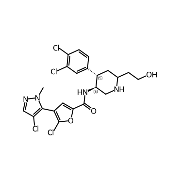 Cn1ncc(Cl)c1-c1cc(C(=O)N[C@@H]2CNC(CCO)C[C@H]2c2ccc(Cl)c(Cl)c2)oc1Cl